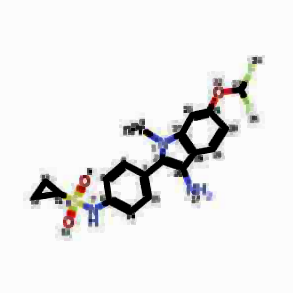 CCCn1c(-c2ccc(NS(=O)(=O)C3CC3)cc2)c(N)c2ccc(OC(F)F)cc21